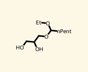 CCCCCC(OCC)OCC(O)CO